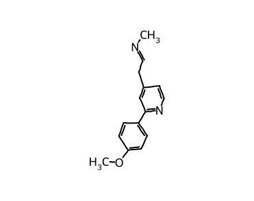 CN=CCc1ccnc(-c2ccc(OC)cc2)c1